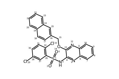 O=S(=O)(Nc1nc2ccccc2nc1OCc1ccc2ccccc2c1)c1cc(Cl)ccc1Cl